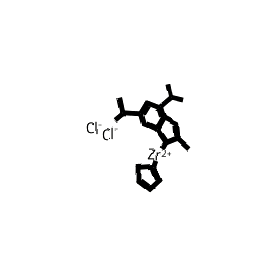 CC1=Cc2c(C(C)C)cc(C(C)C)cc2[CH]1[Zr+2][C]1=CC=CC1.[Cl-].[Cl-]